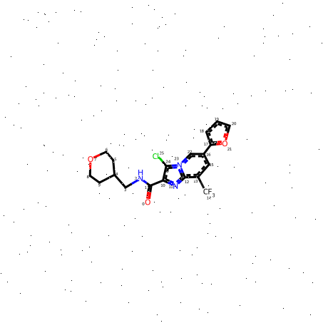 O=C(NCC1CCOCC1)c1nc2c(C(F)(F)F)cc(-c3ccco3)cn2c1Cl